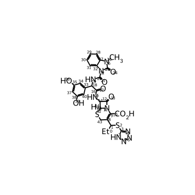 CCC(Sc1nnn[nH]1)C1=C(C(=O)O)N2C(=O)C(NC(=O)C(NC(=O)n3c(=O)n(C)c4ccccc43)c3cc(O)cc(O)c3)[C@@H]2SC1